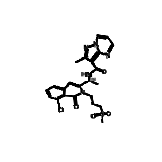 Cc1nn2cccnc2c1C(=O)N[C@@H](C)c1cc2cccc(Cl)c2c(=O)n1CCCS(C)(=O)=O